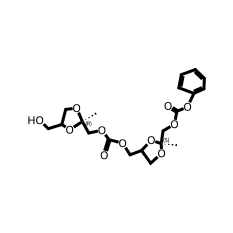 C[C@]1(COC(=O)Oc2ccccc2)OCC(COC(=O)OC[C@]2(C)OCC(CO)O2)O1